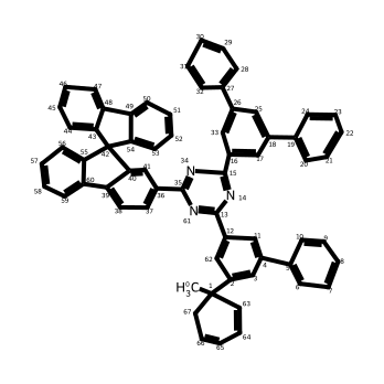 CC1(c2cc(-c3ccccc3)cc(-c3nc(-c4cc(-c5ccccc5)cc(-c5ccccc5)c4)nc(-c4ccc5c(c4)C4(c6ccccc6-c6ccccc64)c4ccccc4-5)n3)c2)C=CC=CC1